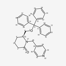 O=C1CCC[C@@H](COC(c2ccccc2)(c2ccccc2)c2ccccc2)N1Cc1ccncc1